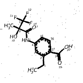 CCc1cc(NC(=O)C(C)(O)C(F)(F)F)ccc1C(=O)O